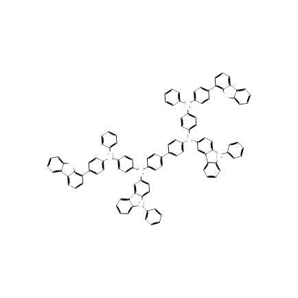 c1ccc(N(c2ccc(-c3cccc4c3oc3ccccc34)cc2)c2ccc(N(c3ccc(-c4ccc(N(c5ccc(N(c6ccccc6)c6ccc(-c7cccc8c7oc7ccccc78)cc6)cc5)c5ccc6c(c5)c5ccccc5n6-c5ccccc5)cc4)cc3)c3ccc4c(c3)c3ccccc3n4-c3ccccc3)cc2)cc1